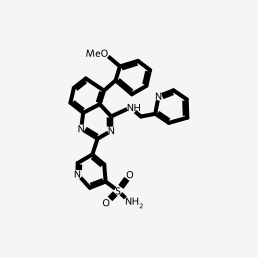 COc1ccccc1-c1cccc2nc(-c3cncc(S(N)(=O)=O)c3)nc(NCc3ccccn3)c12